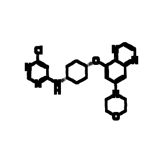 Clc1cc(N[C@H]2CC[C@@H](Oc3cc(N4CCOCC4)cc4nccnc34)CC2)ncn1